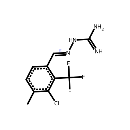 Cc1ccc(/C=N/NC(=N)N)c(C(F)(F)F)c1Cl